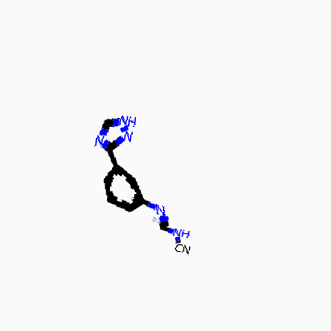 N#CN/C=N/c1cccc(-c2nc[nH]n2)c1